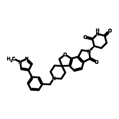 Cn1cc(-c2cccc(CN3CCC4(CC3)COc3c4ccc4c3CN([C@@H]3CCC(=O)NC3=O)C4=O)c2)cn1